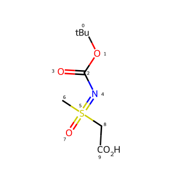 CC(C)(C)OC(=O)N=S(C)(=O)CC(=O)O